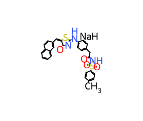 Cc1ccc(S(=O)(=O)NC(=O)Cc2ccc(NC3=NC(=O)C(=Cc4ccc5ccccc5c4)S3)cc2)cc1.[NaH]